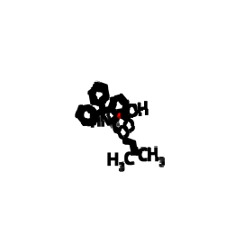 CC(C)=CCOC[C@H](CC(=O)O)NC(c1ccccc1)(c1ccccc1)c1ccccc1